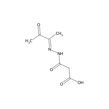 CC(=O)C(C)=NNC(=O)CC(=O)O